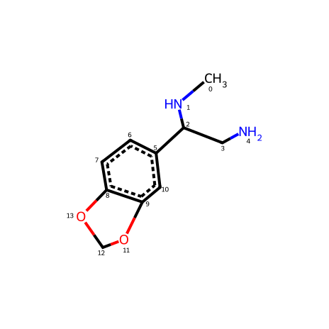 CNC(CN)c1ccc2c(c1)OCO2